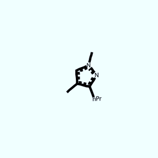 CCCc1nn(C)cc1C